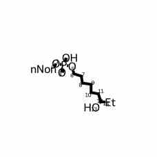 CCCCCCCCCOP(=O)(O)OCCCCCCC(O)CC